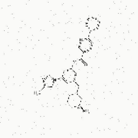 Cc1cn(-c2cc(CN3CCC[C@H](N)C3)cc(NC(=O)c3ccc(-c4ccccc4)nc3)c2)cn1